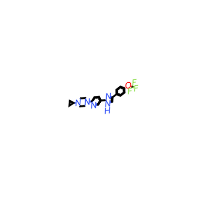 FC(F)(F)Oc1ccc(-c2c[nH]c(-c3ccc(N4CCN(C5CC5)CC4)nc3)n2)cc1